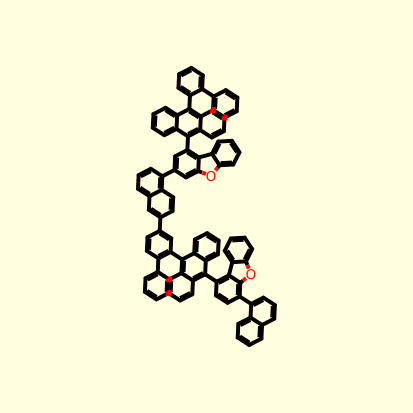 c1ccc(-c2ccccc2-c2c3ccccc3c(-c3cc(-c4cccc5cc(-c6ccc(-c7ccccc7)c(-c7c8ccccc8c(-c8ccc(-c9cccc%10ccccc9%10)c9oc%10ccccc%10c89)c8ccccc78)c6)ccc45)cc4oc5ccccc5c34)c3ccccc23)cc1